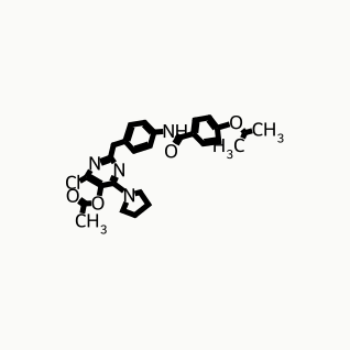 CC(=O)Oc1c(Cl)nc(Cc2ccc(NC(=O)c3ccc(OC(C)C)cc3)cc2)nc1N1CCCC1